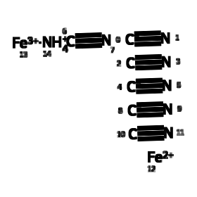 [C-]#N.[C-]#N.[C-]#N.[C-]#N.[C-]#N.[C-]#N.[Fe+2].[Fe+3].[NH4+]